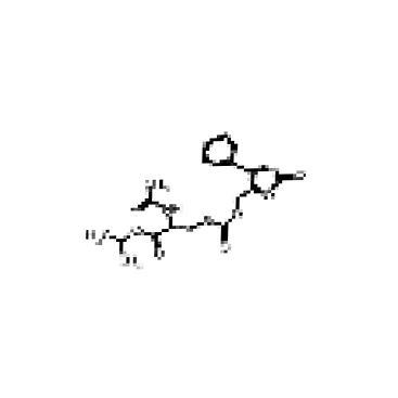 CC(=O)N[C@@H](CSC(=O)OCc1oc(=O)oc1-c1ccccc1)C(=O)OC(C)C